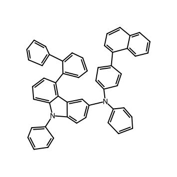 c1ccc(-c2ccccc2-c2cccc3c2c2cc(N(c4ccccc4)c4ccc(-c5cccc6ccccc56)cc4)ccc2n3-c2ccccc2)cc1